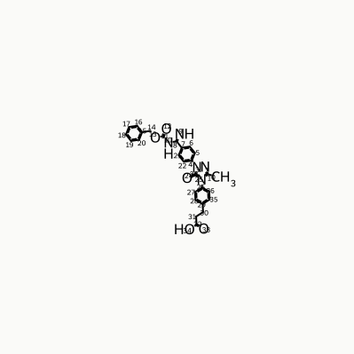 Cc1nn(-c2ccc(C(=N)NC(=O)OCc3ccccc3)cc2)c(=O)n1-c1ccc(CCC(=O)O)cc1